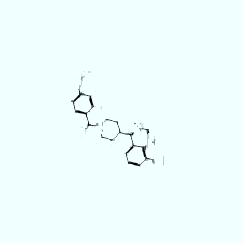 Cc1cccc2c(C3CCN(C(=O)c4ccc(OC(F)(F)F)cc4)CC3)ncnc12